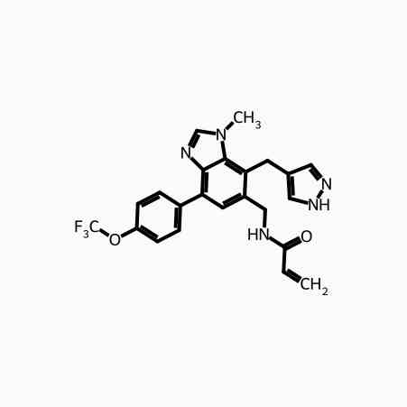 C=CC(=O)NCc1cc(-c2ccc(OC(F)(F)F)cc2)c2ncn(C)c2c1Cc1cn[nH]c1